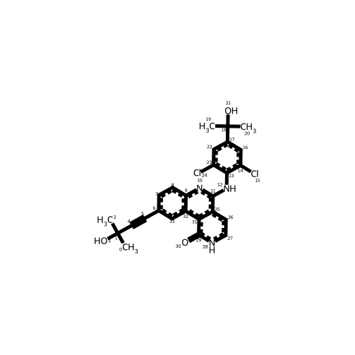 CC(C)(O)C#Cc1ccc2nc(Nc3c(Cl)cc(C(C)(C)O)cc3Cl)c3cc[nH]c(=O)c3c2c1